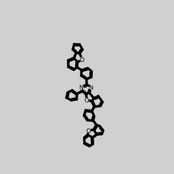 c1ccc(-c2nc(-c3cccc(-c4cccc5c4oc4ccccc45)c3)nc3c2oc2c(-c4cccc(-c5cccc6c5oc5ccccc56)c4)cccc23)cc1